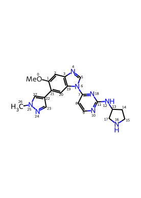 COc1cc2ncn(-c3ccnc(NC4CCNC4)n3)c2cc1-c1cnn(C)c1